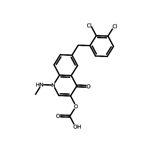 CNn1cc(OC(=O)O)c(=O)c2cc(Cc3cccc(Cl)c3Cl)ccc21